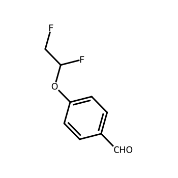 O=Cc1ccc(OC(F)CF)cc1